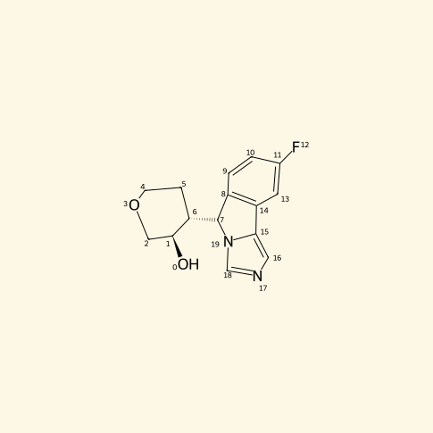 O[C@H]1COCC[C@@H]1C1c2ccc(F)cc2-c2cncn21